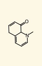 CN1C=CC=C2CC=CC(=O)C21